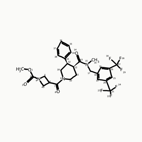 COC(=O)N1CC(C(=O)N2CC[C@H](C(=O)N(C)Cc3cc(C(F)(F)F)cc(C(F)(F)F)c3)[C@H](c3ccccc3)C2)C1